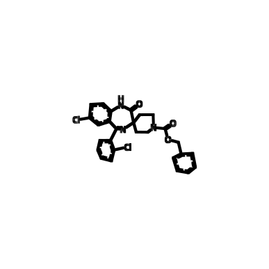 O=C(OCc1ccccc1)N1CCC2(CC1)N=C(c1ccccc1Cl)c1cc(Cl)ccc1NC2=O